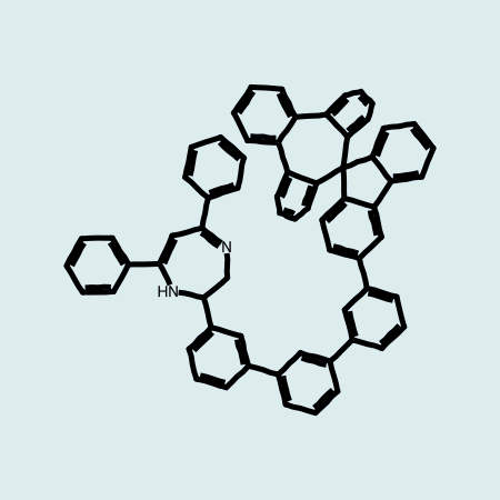 C1=C(c2ccccc2)NC(c2cccc(-c3cccc(-c4cccc(-c5ccc6c(c5)-c5ccccc5C65c6ccccc6-c6ccccc6-c6ccccc65)c4)c3)c2)CN=C1c1ccccc1